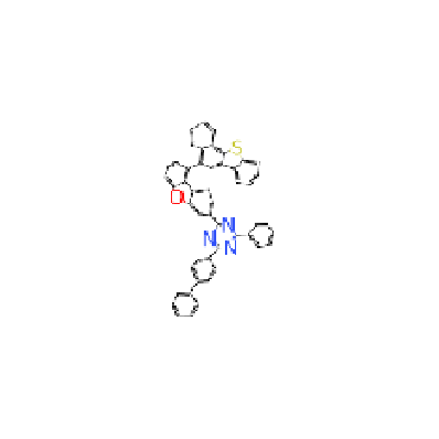 c1ccc(-c2ccc(-c3nc(-c4ccccc4)nc(-c4ccc5c(c4)oc4cccc(-c6cc7c8ccccc8sc7c7ccccc67)c45)n3)cc2)cc1